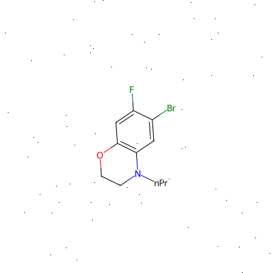 CCCN1CCOc2cc(F)c(Br)cc21